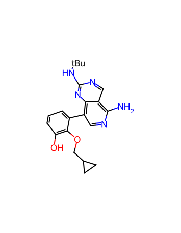 CC(C)(C)Nc1ncc2c(N)ncc(-c3cccc(O)c3OCC3CC3)c2n1